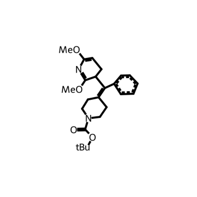 COC1=CCC(C(=C2CCN(C(=O)OC(C)(C)C)CC2)c2ccccc2)C(OC)=N1